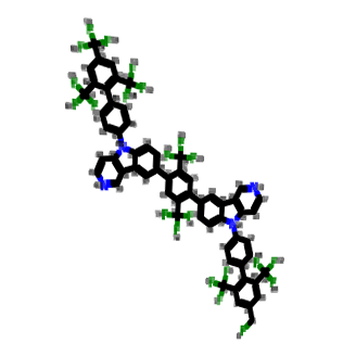 FCc1cc(C(F)(F)F)c(-c2ccc(-n3c4ccncc4c4cc(-c5cc(C(F)(F)F)c(-c6ccc7c(c6)c6cnccc6n7-c6ccc(-c7c(C(F)(F)F)cc(C(F)(F)F)cc7C(F)(F)F)cc6)cc5C(F)(F)F)ccc43)cc2)c(C(F)(F)F)c1